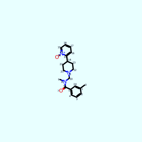 Cc1cccc(C(=O)N(C)CN2CCC(c3cccc[n+]3[O-])CC2)c1